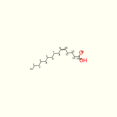 CCCCCCCCC/C=C\CCCC(=O)O